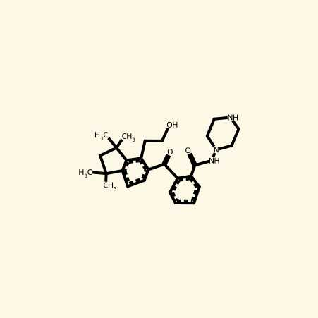 CC1(C)CC(C)(C)c2c1ccc(C(=O)c1ccccc1C(=O)NN1CCNCC1)c2CCO